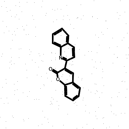 O=c1oc2ccccc2cc1-c1ccc2ccccc2n1